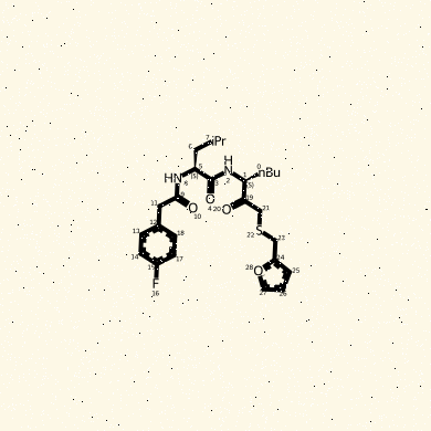 CCCC[C@H](NC(=O)[C@H](CC(C)C)NC(=O)Cc1ccc(F)cc1)C(=O)CSCc1ccco1